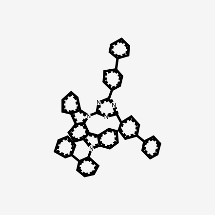 c1ccc(-c2ccc(-c3nc(-c4ccc(-c5ccccc5)cc4)nc(-n4c5ccccc5c5ccc6c(c7ccccc7n6-c6ccccc6-c6ccccc6)c54)n3)cc2)cc1